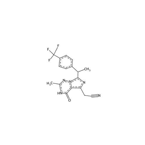 Cc1nn2c(C(C)c3ccc(C(F)(F)F)cc3)nc(CC#N)c2c(=O)[nH]1